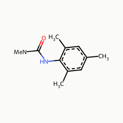 CNC(=O)Nc1c(C)cc(C)cc1C